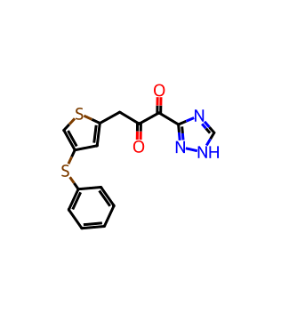 O=C(Cc1cc(Sc2ccccc2)cs1)C(=O)c1nc[nH]n1